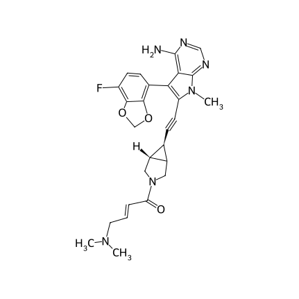 CN(C)C/C=C/C(=O)N1CC2[C@H](C#Cc3c(-c4ccc(F)c5c4OCO5)c4c(N)ncnc4n3C)[C@H]2C1